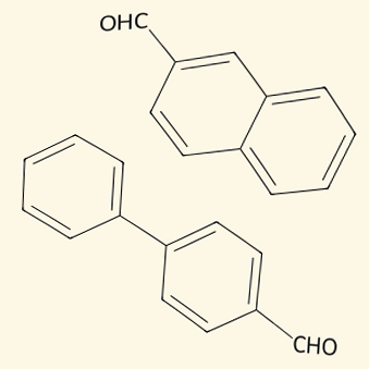 O=Cc1ccc(-c2ccccc2)cc1.O=Cc1ccc2ccccc2c1